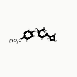 CCOC(=O)c1ccc(Oc2ccc(C3CCC3)cc2)cc1